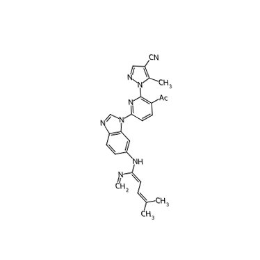 C=N/C(=C\C=C(C)C)Nc1ccc2ncn(-c3ccc(C(C)=O)c(-n4ncc(C#N)c4C)n3)c2c1